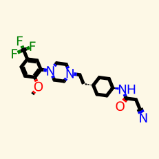 COc1ccc(C(F)(F)F)cc1N1CCN(CC[C@H]2CC[C@H](NC(=O)CC#N)CC2)CC1